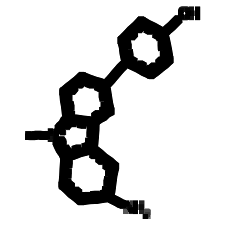 Cn1c2ccc(N)cc2c2cc(-c3ccc(O)cc3)ccc21